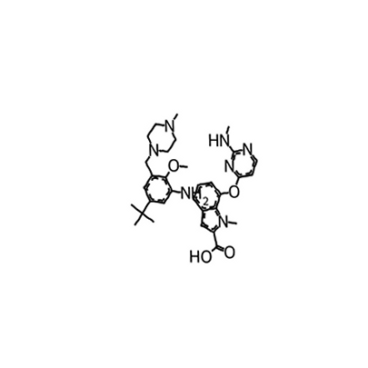 CNc1nccc(Oc2cccc3cc(C(=O)O)n(C)c23)n1.COc1c(N)cc(C(C)(C)C)cc1CN1CCN(C)CC1